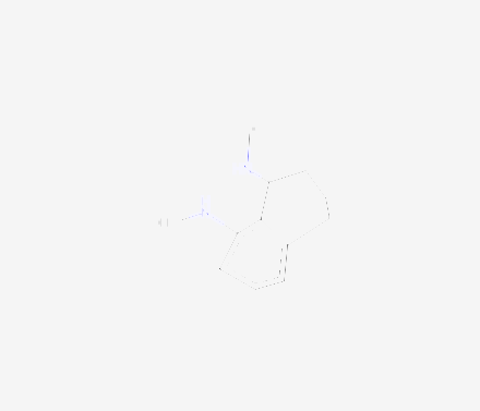 CCCNC1CCCc2cccc(NC=O)c21